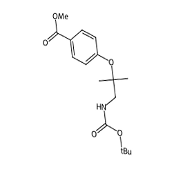 COC(=O)c1ccc(OC(C)(C)CNC(=O)OC(C)(C)C)cc1